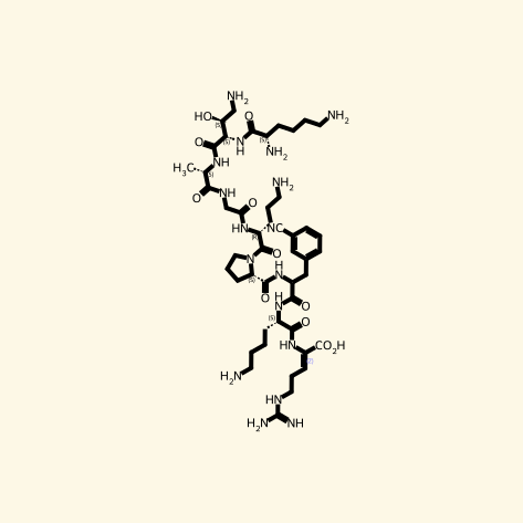 C[C@H](NC(=O)[C@@H](NC(=O)[C@@H](N)CCCCN)[C@@H](O)CN)C(=O)NCC(=O)N[C@H](CCCN)C(=O)N1CCC[C@H]1C(=O)NC(Cc1cccc(C#N)c1)C(=O)N[C@@H](CCCCN)C(=O)N/C(=C\CCNC(=N)N)C(=O)O